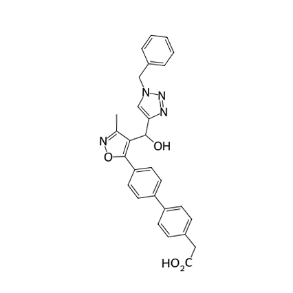 Cc1noc(-c2ccc(-c3ccc(CC(=O)O)cc3)cc2)c1C(O)c1cn(Cc2ccccc2)nn1